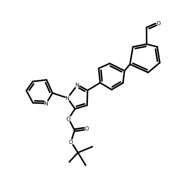 CC(C)(C)OC(=O)Oc1cc(-c2ccc(-c3cccc(C=O)c3)cc2)nn1-c1ccccn1